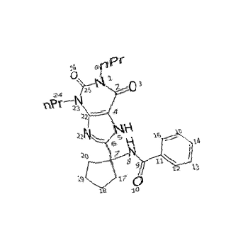 CCCn1c(=O)c2[nH]c(C3(NC(=O)c4ccccc4)CCCC3)nc2n(CCC)c1=O